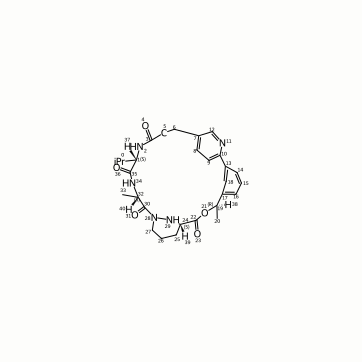 CC(C)[C@@H]1NC(=O)CCc2ccc(nc2)-c2cccc(c2)[C@@H](C)OC(=O)[C@@H]2CCCN(N2)C(=O)[C@H](C)NC1=O